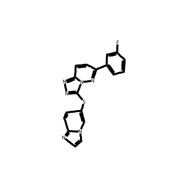 Fc1cccc(-c2ccc3nnc(Sc4ccc5nccn5c4)n3n2)c1